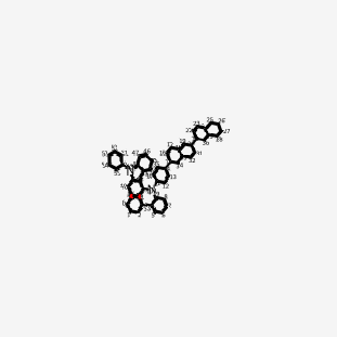 c1ccc(-c2ccccc2N(c2ccc(-c3ccc4cc(-c5ccc6ccccc6c5)ccc4c3)cc2)c2cccc3c2c2ccccc2n3-c2ccccc2)cc1